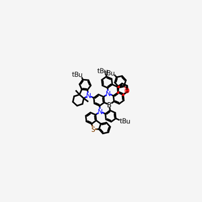 CC(C)(C)c1ccc2c(c1)B1c3ccc4oc5ccc(C(C)(C)C)cc5c4c3N(c3ccc(C(C)(C)C)cc3-c3ccccc3)c3cc(N4c5ccc(C(C)(C)C)cc5C5(C)CCCCC45C)cc(c31)N2c1cccc2sc3ccccc3c12